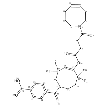 O=C(CCC(=O)N1CCC#CCCC1)O/C1=C/C(F)(F)CN(C(=O)c2ccc(C(=O)O)cc2)CCC1(F)F